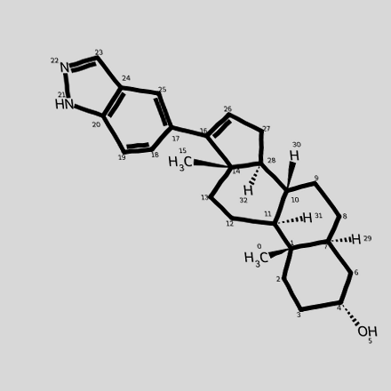 C[C@]12CC[C@@H](O)C[C@@H]1CC[C@@H]1[C@@H]2CC[C@]2(C)C(c3ccc4[nH]ncc4c3)=CC[C@@H]12